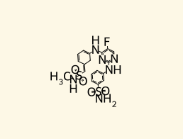 CNS(=O)(=O)/C=C1\C=CC=C(Nc2nc(Nc3cccc(S(N)(=O)=O)c3)ncc2F)C1